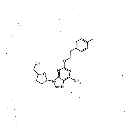 Cc1ccc(CCOc2nc(N)c3ncn(C4CCC(CO)O4)c3n2)cc1